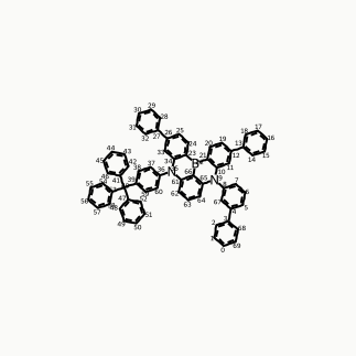 c1ccc(-c2cccc(N3c4cc(-c5ccccc5)ccc4B4c5ccc(-c6ccccc6)cc5N(c5ccc(C(c6ccccc6)(c6ccccc6)c6ccccc6)cc5)c5cccc3c54)c2)cc1